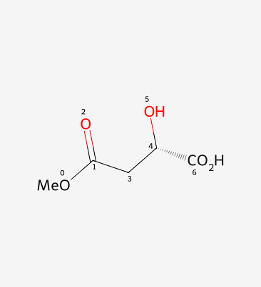 COC(=O)C[C@H](O)C(=O)O